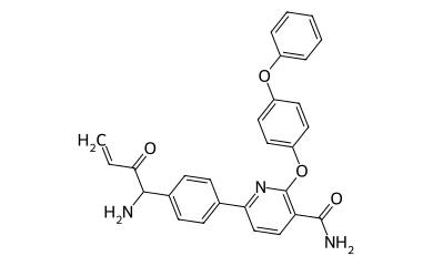 C=CC(=O)C(N)c1ccc(-c2ccc(C(N)=O)c(Oc3ccc(Oc4ccccc4)cc3)n2)cc1